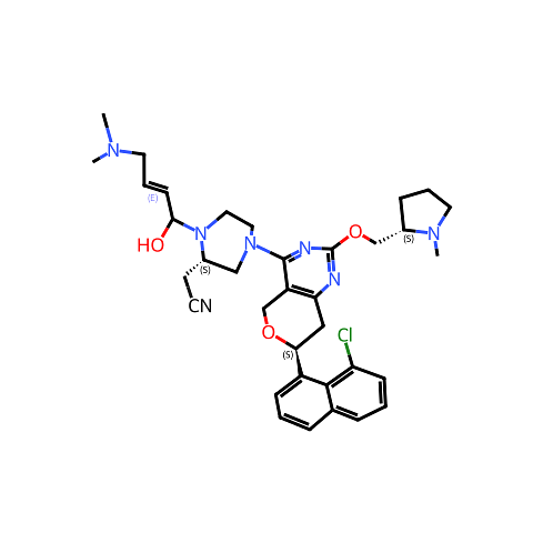 CN(C)C/C=C/C(O)N1CCN(c2nc(OC[C@@H]3CCCN3C)nc3c2CO[C@H](c2cccc4cccc(Cl)c24)C3)C[C@@H]1CC#N